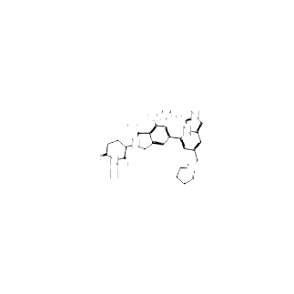 COc1cc(-c2cc(CN3CCCC3)cc3cncn23)cc2c1C(=O)N(C1CCC(=O)NC1=O)C2